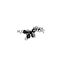 Cc1ccc(S(=O)(=O)n2nc(C3CCN(C(=O)OC(C)(C)C)CC3)c(-c3ccncn3)c2-c2ccc(Cl)cc2F)cc1